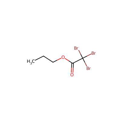 CCCOC(=O)C(Br)(Br)Br